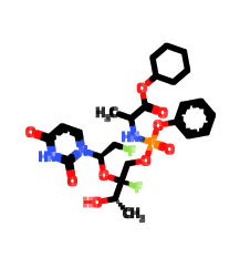 CC(NP(=O)(OC[C@@](F)(O[C@H](CF)n1ccc(=O)[nH]c1=O)[C@H](C)O)Oc1ccccc1)C(=O)OC1CCCCC1